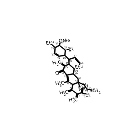 C=C(CC)C(=C)C(=C)C1C(C)=C2C(=O)C(=C)C(C(/C=C\CC)C3C=CC(CC)C(OC)[C@H]3CC)CC2CC1(N)CCN